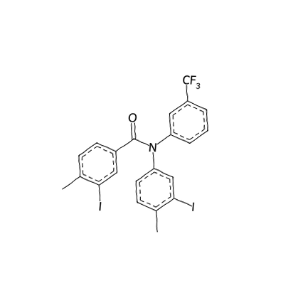 Cc1ccc(C(=O)N(c2cccc(C(F)(F)F)c2)c2ccc(C)c(I)c2)cc1I